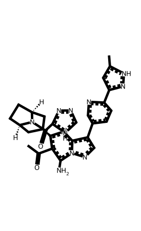 CC(=O)c1c([C@H]2C[C@H]3CC[C@@H](C2)N3C(=O)c2nnc[nH]2)nc2c(-c3ccc(-c4cc(C)[nH]n4)nc3)cnn2c1N